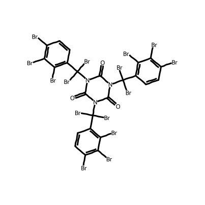 O=c1n(C(Br)(Br)c2ccc(Br)c(Br)c2Br)c(=O)n(C(Br)(Br)c2ccc(Br)c(Br)c2Br)c(=O)n1C(Br)(Br)c1ccc(Br)c(Br)c1Br